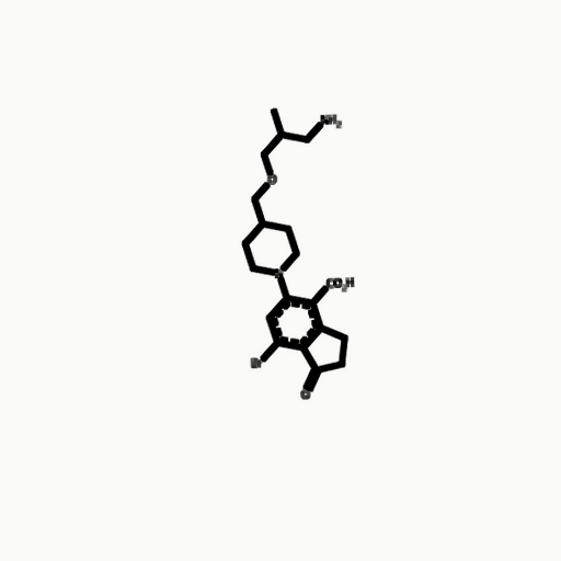 CC(CN)COCC1CCN(c2cc(Br)c3c(c2C(=O)O)CCC3=O)CC1